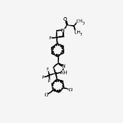 CC(C)C(=O)N1CC(F)(c2ccc(C3=NNC(c4cc(Cl)cc(Cl)c4)(C(F)(F)F)C3)cc2)C1